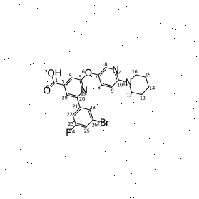 O=C(O)c1cc(Oc2ccc(N3CCCCC3)nc2)nc(-c2cc(F)cc(Br)c2)c1